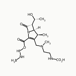 BNPOC(=O)C1=C(CN(C)CCNC(=O)O)[C@H](C)[C@@H]2[C@@H]([C@@H](C)O)C(=O)N12